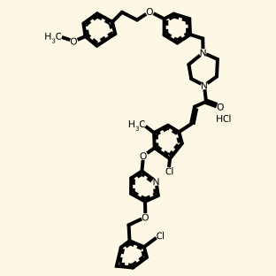 COc1ccc(CCOc2ccc(CN3CCN(C(=O)/C=C/c4cc(C)c(Oc5ccc(OCc6ccccc6Cl)cn5)c(Cl)c4)CC3)cc2)cc1.Cl